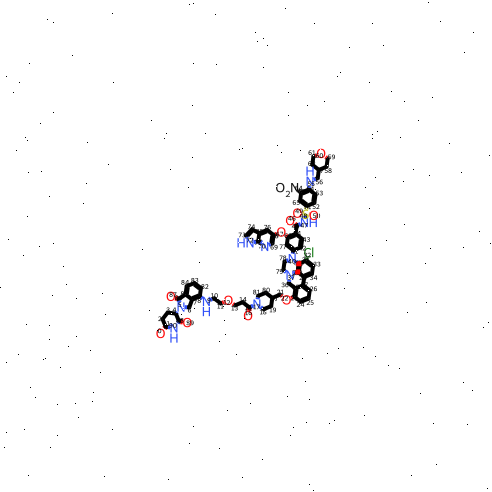 O=C1CCC(N2Cc3c(NCCOCCC(=O)N4CCC(COc5cccc(-c6ccc(Cl)cc6)c5CN5CCN(c6ccc(C(=O)NS(=O)(=O)c7ccc(NCC8CCOCC8)c([N+](=O)[O-])c7)c(Oc7cnc8[nH]ccc8c7)c6)CC5)CC4)cccc3C2=O)C(=O)N1